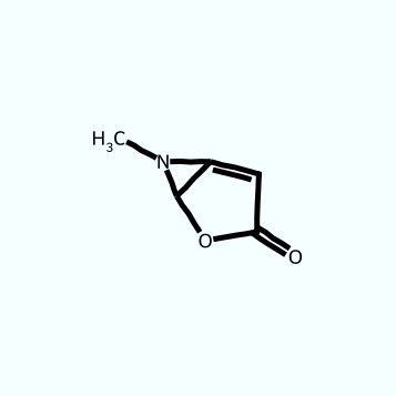 CN1C2=CC(=O)OC21